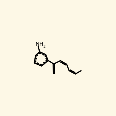 C=C(/C=C\C=C/C)c1cccc(N)c1